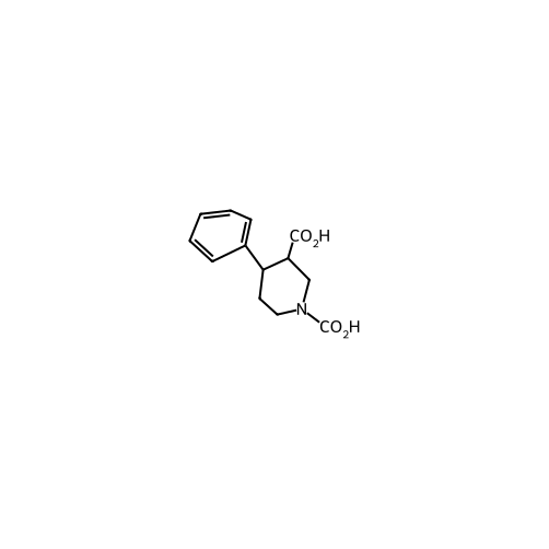 O=C(O)C1CN(C(=O)O)CCC1c1ccccc1